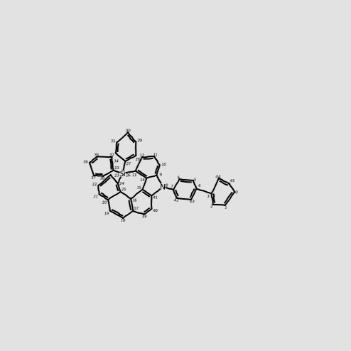 c1ccc(-c2ccc(-n3c4cccc5c4c4c6c(ccc7cccc(c76)[Si]5(c5ccccc5)c5ccccc5)ccc43)cc2)cc1